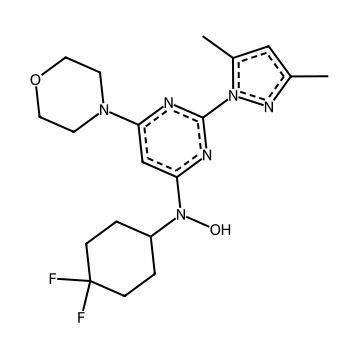 Cc1cc(C)n(-c2nc(N3CCOCC3)cc(N(O)C3CCC(F)(F)CC3)n2)n1